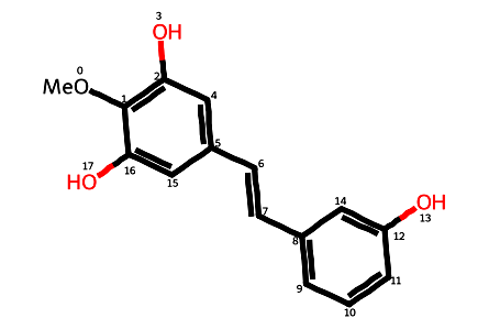 COc1c(O)cc(C=Cc2cccc(O)c2)cc1O